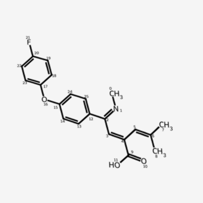 C/N=C(/C=C(\C=C(C)C)C(=O)O)c1ccc(Oc2ccc(F)cc2)cc1